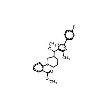 COC(=O)c1ccccc1N1CCCC(C(OC)c2sc(-c3ccc(Cl)cc3)nc2C)C1